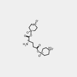 N[C@@H](CCC(=O)O[N+]1([O-])CC[NH+]([O-])CC1)C(=O)O[N+]1([O-])CC[NH+]([O-])CC1